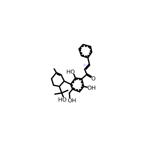 CC1=CC(c2c(CO)cc(O)c(C(=O)/C=C/c3ccccc3)c2O)C(C(C)(C)O)CC1